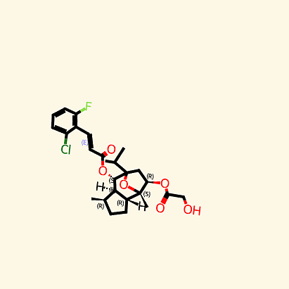 CC(C)C12C[C@@H](OC(=O)CO)[C@@](C)(O1)[C@@H]1CC[C@@H](C)[C@H]1[C@@H]2OC(=O)/C=C/c1c(F)cccc1Cl